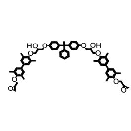 Cc1cc(-c2cc(C)c(OCC3CO3)c(C)c2)cc(C)c1OCC(O)COc1ccc(C(C)(c2ccccc2)c2ccc(OCC(O)COc3c(C)cc(-c4cc(C)c(OCC5CO5)c(C)c4)cc3C)cc2)cc1